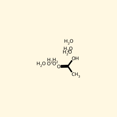 CC(=O)O.O.O.O.O.O.O